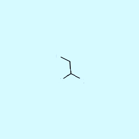 [CH2]CCCC(N)CC